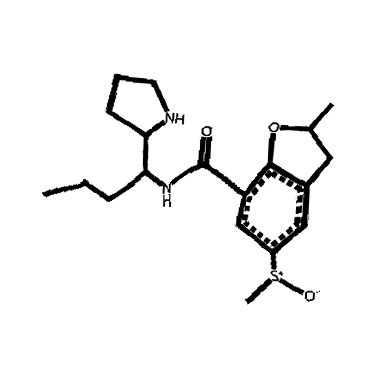 CCCC(NC(=O)c1cc([S+](C)[O-])cc2c1OC(C)C2)C1CCCN1